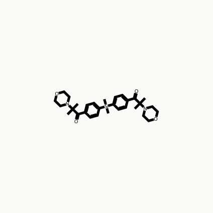 CC(C)(C(=O)c1ccc([Si](C)(C)c2ccc(C(=O)C(C)(C)N3CCOCC3)cc2)cc1)N1CCOCC1